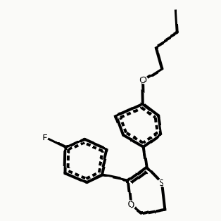 CCCCOc1ccc(C2=C(c3ccc(F)cc3)OCCS2)cc1